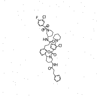 O=C(CCc1cccc(C2CCC(NC(=O)CCc3ccccc3)CN2S(=O)(=O)c2ccc(N3CCCCC3)c(Cl)c2)c1)NC1CCCN(S(=O)(=O)c2ccc(F)c(Cl)c2)C1